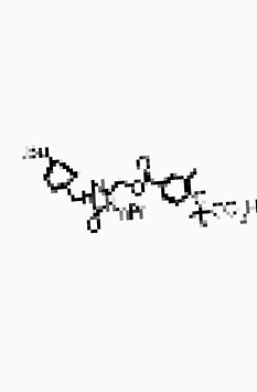 CCCn1c(COC(=O)c2ccc(OC(C)(C)C(=O)O)c(C)c2)nn(Cc2ccc(C(C)(C)C)cc2)c1=O